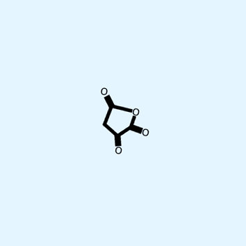 O=C1CC(=O)C(=O)O1